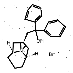 C[N+]1(C)[C@@H]2CCC[C@H]1C[C@@H](CC(O)(c1ccccc1)c1ccccc1)C2.[Br-]